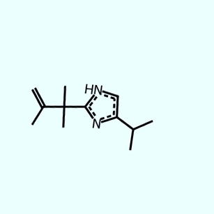 C=C(C)C(C)(C)c1nc(C(C)C)c[nH]1